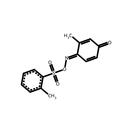 CC1=CC(=O)C=CC1=NOS(=O)(=O)c1ccccc1C